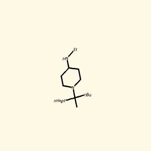 CCCCCCCC(C)(CCCC)N1CCC(NCC)CC1